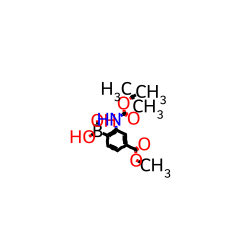 COC(=O)c1ccc(B(O)O)c(NC(=O)OC(C)(C)C)c1